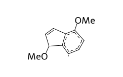 COc1cc[c]c2c1C=CC2OC